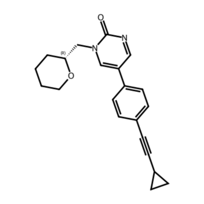 O=c1ncc(-c2ccc(C#CC3CC3)cc2)cn1C[C@H]1CCCCO1